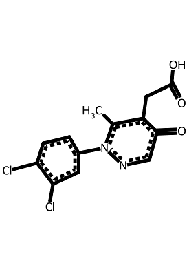 Cc1c(CC(=O)O)c(=O)cnn1-c1ccc(Cl)c(Cl)c1